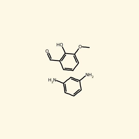 COc1cccc(C=O)c1O.Nc1cccc(N)c1